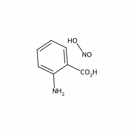 Nc1ccccc1C(=O)O.O=NO